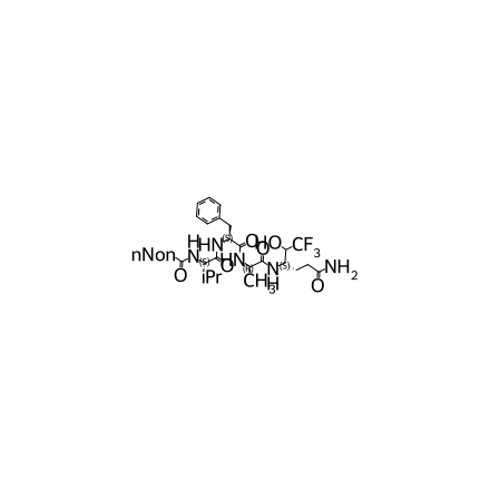 CCCCCCCCCC(=O)N[C@H](C(=O)N[C@@H](Cc1ccccc1)C(=O)N[C@H](C)C(=O)N[C@@H](CCC(N)=O)C(O)C(F)(F)F)C(C)C